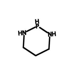 C1CNPNC1